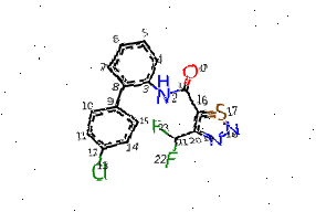 O=C(Nc1ccccc1-c1ccc(Cl)cc1)c1snnc1C(F)F